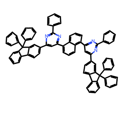 c1ccc(-c2nc(-c3ccc4c(c3)C(c3ccccc3)(c3ccccc3)c3ccccc3-4)cc(-c3cccc4c(-c5cc(-c6ccc7c(c6)C(c6ccccc6)(c6ccccc6)c6ccccc6-7)nc(-c6ccccc6)n5)cccc34)n2)cc1